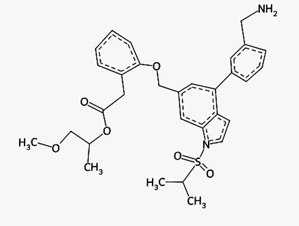 COCC(C)OC(=O)Cc1ccccc1OCc1cc(-c2cccc(CN)c2)c2ccn(S(=O)(=O)C(C)C)c2c1